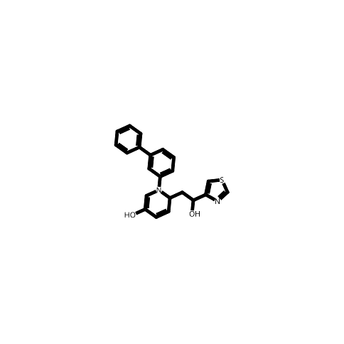 OC1=CN(c2cccc(-c3ccccc3)c2)C(CC(O)c2cscn2)C=C1